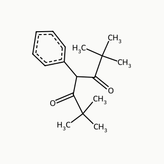 CC(C)(C)C(=O)C(C(=O)C(C)(C)C)c1ccccc1